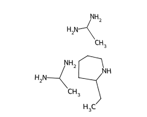 CC(N)N.CC(N)N.CCC1CCCCN1